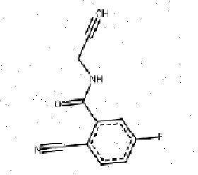 C#CCNC(=O)c1cc(F)ccc1C#N